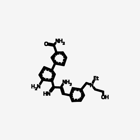 CCN(CCO)Cc1cccc(/C=C(\N)C(=N)c2cc(-c3cccc(C(N)=O)c3)ccc2N)c1